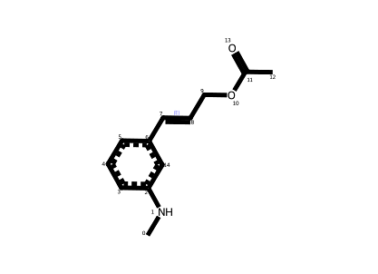 CNc1cccc(/C=C/COC(C)=O)c1